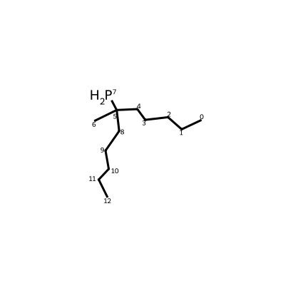 CCCCCC(C)(P)CCCCC